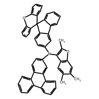 Cc1cc2oc(C)c(N(c3ccc4c(c3)-c3ccccc3C43c4ccccc4Oc4ccccc43)c3ccc4c5ccccc5c5ccccc5c4c3)c2cc1C